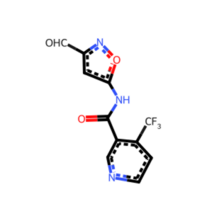 O=Cc1cc(NC(=O)c2cnccc2C(F)(F)F)on1